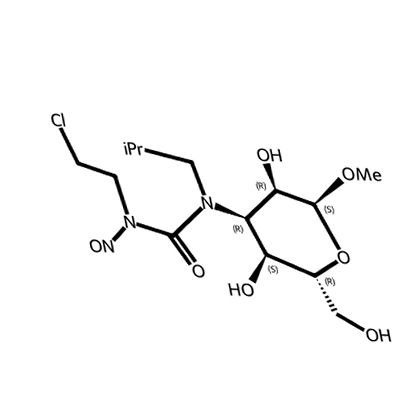 CO[C@H]1O[C@H](CO)[C@@H](O)[C@@H](N(CC(C)C)C(=O)N(CCCl)N=O)[C@H]1O